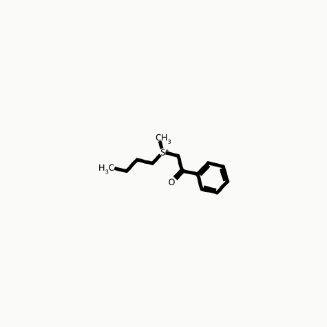 CCCC[S+](C)CC(=O)c1ccccc1